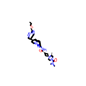 CCCOCc1ncc(-c2ccn3nc(NC(=O)[C@H]4C[C@@H](N5CCN(C(=O)N(C)C)C[C@@H]5C)C4)cc3c2)cn1